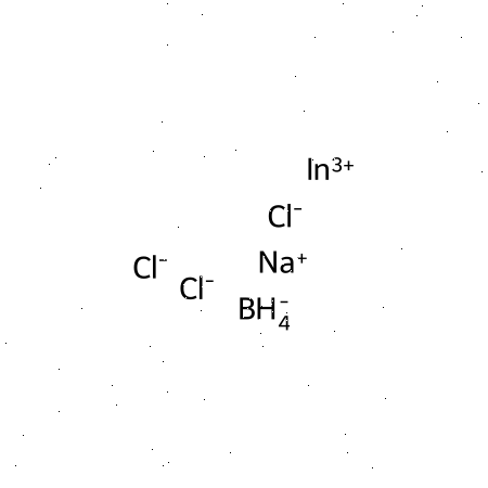 [BH4-].[Cl-].[Cl-].[Cl-].[In+3].[Na+]